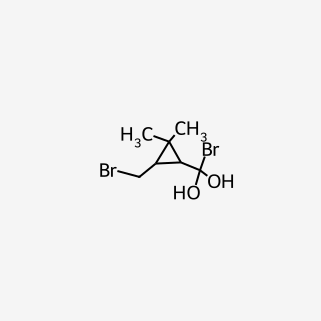 CC1(C)C(CBr)C1C(O)(O)Br